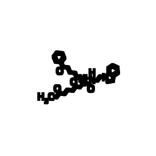 CCC(=O)CCCCC[C@H](NC(=O)CCCC(=O)c1ccccc1)C(=O)NCCN1CCc2ccccc21